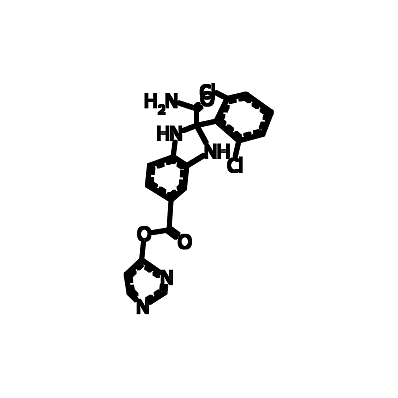 NC(=O)C1(c2c(Cl)cccc2Cl)Nc2ccc(C(=O)Oc3ccncn3)cc2N1